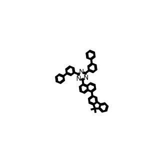 CC1(C)c2ccccc2-c2cc(-c3cccc4c(-c5nc(-c6cccc(-c7ccccc7)c6)nc(-c6cccc(-c7ccccc7)c6)n5)cccc34)ccc21